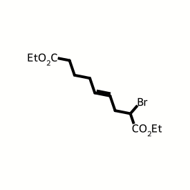 CCOC(=O)CCCC=CCC(Br)C(=O)OCC